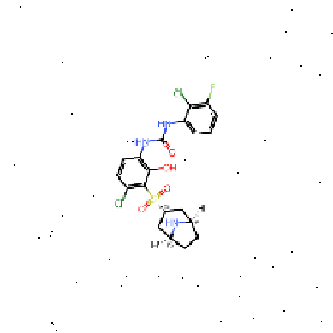 O=C(Nc1ccc(Cl)c(S(=O)(=O)[C@@H]2C[C@H]3CC[C@@H](C2)N3)c1O)Nc1cccc(F)c1Cl